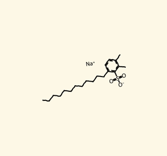 CCCCCCCCCCCCc1ccc(C)c(C)c1S(=O)(=O)[O-].[Na+]